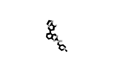 CN1CCC(CNc2ncc3c(n2)CCC=C3c2cc(F)c3nccn3c2)CC1